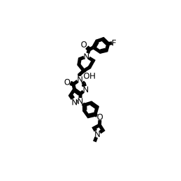 CN1CC(Oc2ccc(-n3ncc4c(=O)n(CC5(O)CCN(C(=O)c6ccc(F)cc6)CC5)cnc43)cc2)C1